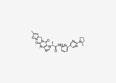 Cc1cc(Cn2c(=O)c3c(ncn3[C@@H](C)C(=O)Nc3cccc(-c4cnc(N5CCC[C@H]5C)nc4)n3)n(C)c2=O)no1